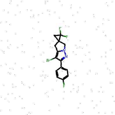 Fc1ccc(-c2nn3c(c2Br)CC2(C3)CC2(F)F)cc1